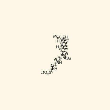 CCOC(=O)CCNC(=O)CCNC(=O)CCCCN(C(=O)OC(C)(C)C)[C@H]1CC[C@@]2(C)C(=CCC3C2CC[C@@]2(C)C3CC[C@@H]2C(C)CCCC(C)C)C1